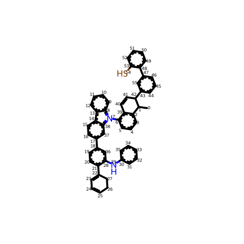 CC1c2cccc(-n3c4ccccc4c4ccc(-c5ccc(C6=CC=CCC6)c(Nc6ccccc6)c5)cc43)c2C=CC1c1cccc(-c2ccccc2S)c1